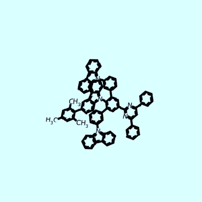 Cc1cc(C)c(-c2ccc3c(c2)c2ccccc2n3-c2c(-c3cccc(-n4c5ccccc5c5ccccc54)c3)cc(-c3nc(-c4ccccc4)cc(-c4ccccc4)n3)cc2-c2cccc(-n3c4ccccc4c4ccccc43)c2)c(C)c1